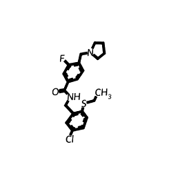 CCSc1ccc(Cl)cc1CNC(=O)c1ccc(CN2CCCC2)c(F)c1